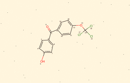 O=C(c1ccc(O)cc1)c1ccc(OC(Cl)(Cl)Cl)cc1